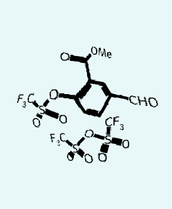 COC(=O)c1cc(C=O)ccc1OS(=O)(=O)C(F)(F)F.O=S(=O)(OS(=O)(=O)C(F)(F)F)C(F)(F)F